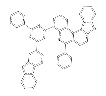 c1ccc(-c2nc(-c3ccc4c(c3)oc3ccccc34)cc(-c3cccc4c3nc(-c3ccccc3)c3ccc5oc6ccccc6c5c34)n2)cc1